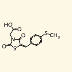 CSc1ccc(C=C2SC(=O)N(CC(=O)O)C2=O)cc1